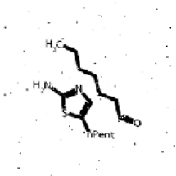 CCCCCCC=O.CCCCCc1cnc(N)s1